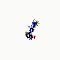 COc1cnc2ccc(=O)n(CCN3CCC(NCc4nc(Cl)c(Cl)s4)CC3)c2c1